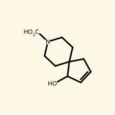 O=C(O)N1CCC2(CC=CC2O)CC1